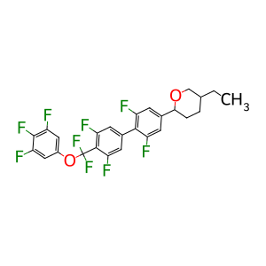 CCC1CCC(c2cc(F)c(-c3cc(F)c(C(F)(F)Oc4cc(F)c(F)c(F)c4)c(F)c3)c(F)c2)OC1